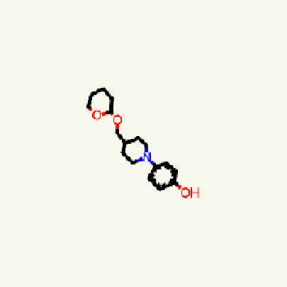 Oc1ccc(N2CCC(COC3CCCCO3)CC2)cc1